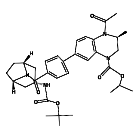 CC(=O)N1c2ccc(-c3ccc(C(=O)N4[C@@H]5CC[C@H]4C[C@@H](NC(=O)OC(C)(C)C)C5)cc3)cc2N(C(=O)OC(C)C)C[C@@H]1C